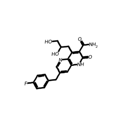 NC(=O)c1c(CC(O)CO)c2ncc(Cc3ccc(F)cc3)cc2[nH]c1=O